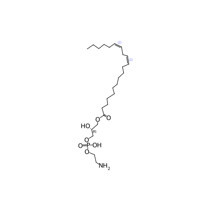 CCCCC/C=C\C/C=C\CCCCCCCCCC(=O)OC[C@@H](O)COP(=O)(O)OCCN